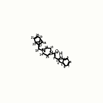 O=C(Cc1cc2ccccc2[nH]1)N1CCN(CC2CC3C=CC2C3)CC1